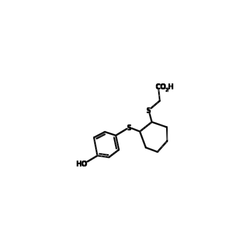 O=C(O)CSC1CCCCC1Sc1ccc(O)cc1